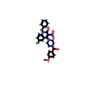 COc1ccc(C(=O)N2CCN(c3c([N+](=O)[O-])c(=O)n(Cc4ccccc4)c4ccc(Cl)cc34)CC2)cc1